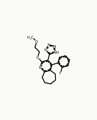 COCCOc1nc2c(c(-c3ccccc3F)c1-c1nnn[nH]1)CCCCC2